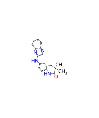 CC1(C)Cc2cc(Nc3cnc4ccccc4n3)ccc2NC1=O